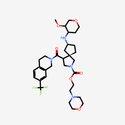 COC1COCCC1N[C@H]1CC[C@@]2(C1)CN(C(=O)OCCN1CCOCC1)CC2C(=O)N1CCc2ccc(C(F)(F)F)cc2C1